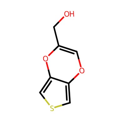 OCC1=COc2cscc2O1